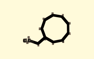 ClC(Cl)(Cl)C[C]1CCCCCCCC1